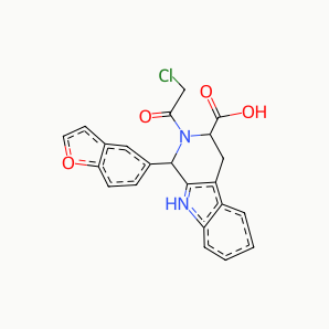 O=C(O)C1Cc2c([nH]c3ccccc23)C(c2ccc3occc3c2)N1C(=O)CCl